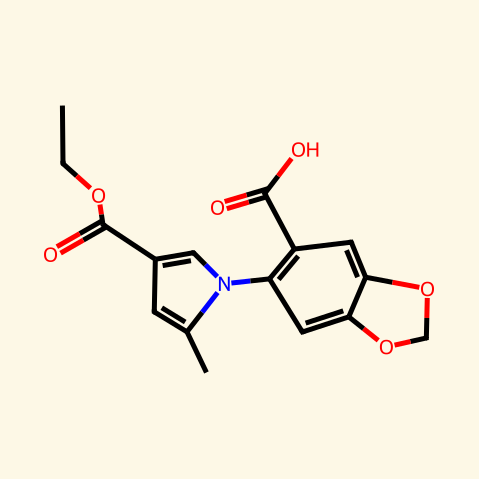 CCOC(=O)c1cc(C)n(-c2cc3c(cc2C(=O)O)OCO3)c1